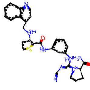 N#CN=C(Nc1cccc(NC(=O)c2sccc2NCc2ccnc3ccccc23)c1)N1CCCC1C(N)=O